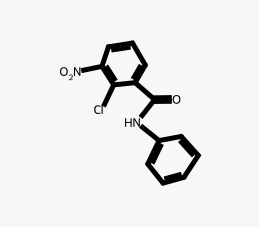 O=C(Nc1ccccc1)c1cccc([N+](=O)[O-])c1Cl